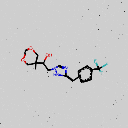 CC1(C(O)CN2C=NC(=Cc3ccc(C(F)(F)F)cc3)N2)COCOC1